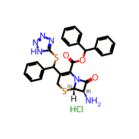 Cl.N[C@@H]1C(=O)N2C(C(=O)OC(c3ccccc3)c3ccccc3)=C(C(Sc3nnn[nH]3)c3ccccc3)CS[C@@H]12